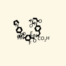 Cn1ccc(=O)n(-c2ccc(C[C@H](NC(=O)c3c(F)cc(NS(=O)(=O)c4ccc(-n5cccc5)cc4)cc3F)C(=O)O)cc2)c1=O